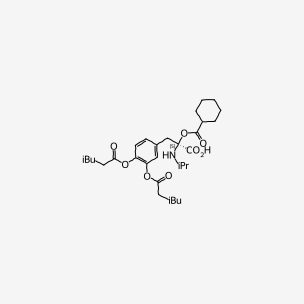 CCC(C)CC(=O)Oc1ccc(C[C@](NC(C)C)(OC(=O)C2CCCCC2)C(=O)O)cc1OC(=O)CC(C)CC